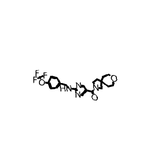 O=C(c1cnc(NCc2ccc(OC(F)(F)F)cc2)nc1)N1CCC2(CCOCC2)C1